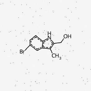 Cc1c(CO)[nH]c2ccc(Br)cc12